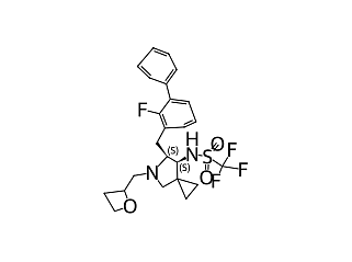 O=S(=O)(N[C@@H]1[C@H](Cc2cccc(-c3ccccc3)c2F)N(CC2CCO2)CC12CC2)C(F)(F)F